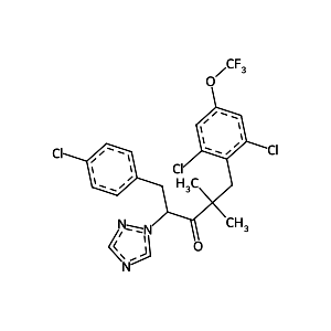 CC(C)(Cc1c(Cl)cc(OC(F)(F)F)cc1Cl)C(=O)C(Cc1ccc(Cl)cc1)n1cncn1